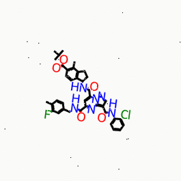 Cc1ccc(CNC(=O)c2cc(C(=O)N[C@H]3CCc4c3ccc(C(=O)OC(C)(C)C)c4C)n3ncc(C(=O)Nc4ccccc4Cl)c3n2)cc1F